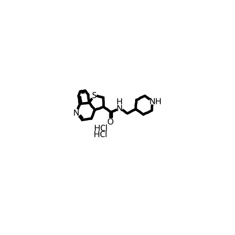 Cl.Cl.O=C(NCC1CCNCC1)C1CSC23CC=CC=C2N=CCC13